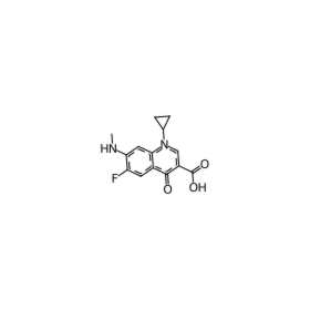 CNc1cc2c(cc1F)c(=O)c(C(=O)O)cn2C1CC1